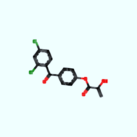 C=C(O)C(=O)Oc1ccc(C(=O)c2ccc(Cl)cc2Cl)cc1